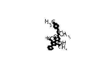 C#Cc1cc(-c2ccccc2)cc(CC)c1C1=C(O)CC(C(C)CSc2ccc(C)cc2)OC1=O